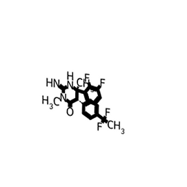 CN1C(=N)N[C@](C)(c2cccc(F)c2F)[C@H](c2ccc(C(C)(F)F)cc2)C1=O